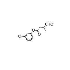 CC(C=O)CC(=O)Oc1cccc(Cl)c1